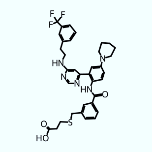 O=C(O)CCSCc1cccc(C(=O)Nc2ccc(N3CCCCC3)cc2-c2cc(NCCc3cccc(C(F)(F)F)c3)ncn2)c1